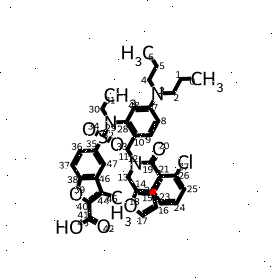 CCCN(CCC)c1ccc(CN(Cc2ccco2)C(=O)c2ccccc2Cl)c(N(CC)S(=O)(=O)c2ccc3oc(C(=O)O)c(C)c3c2)c1